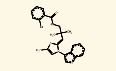 CC1=CN(c2csc3ccccc23)C(=CC(C)(C)CNC(=O)c2ccccc2O)S1